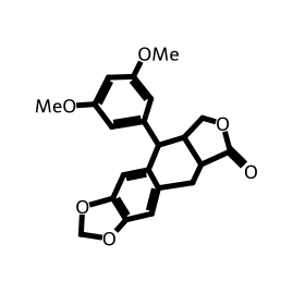 COc1cc(OC)cc(C2c3cc4c(cc3CC3C(=O)OCC32)OCO4)c1